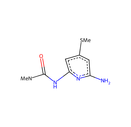 CNC(=O)Nc1cc(SC)cc(N)n1